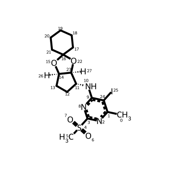 Cc1nc(S(C)(=O)=O)nc(N[C@@H]2CC[C@H]3OC4(CCCCC4)O[C@@H]23)c1I